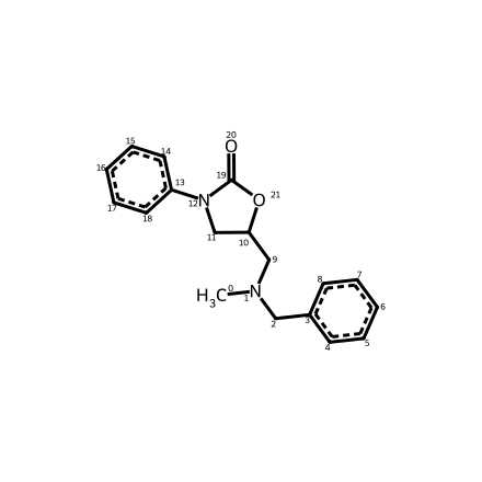 CN(Cc1ccccc1)CC1CN(c2ccccc2)C(=O)O1